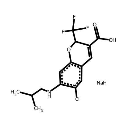 CC(C)CNc1cc2c(cc1Cl)C=C(C(=O)O)C(C(F)(F)F)O2.[NaH]